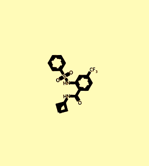 O=C(NC12CC(C1)C2)c1ccc(C(F)(F)F)cc1NS(=O)(=O)c1ccccc1